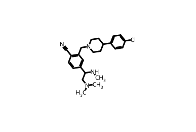 CNC(CN(C)C)c1ccc(C#N)c(CN2CCC(c3ccc(Cl)cc3)CC2)c1